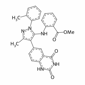 COC(=O)c1ccccc1Nc1c(-c2ccc3[nH]c(=O)[nH]c(=O)c3c2)c(C)nn1-c1ccccc1C